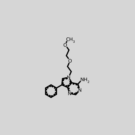 COCCOCCn1cc(-c2ccccc2)c2ncnc(N)c21